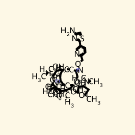 CCC(=O)/N=C1\[C@H](C)C[C@@]2(C)OC/C(=N/OCc3ccc(-c4nc(N)cs4)cn3)CC[C@H]([C@H]1C)[C@](C)(O)[C@@H](CC)OC(=O)[C@@](C)(O)C(=O)[C@H](C)[C@H]2O[C@@H]1O[C@H](C)C[C@H](N(C)C)[C@H]1O